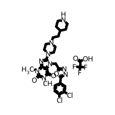 Cn1c(=O)c2c(nc(N3CCN(CCC4CCNCC4)CC3)n2Cc2nnc(-c3ccc(Cl)c(Cl)c3)o2)n(C)c1=O.O=C(O)C(F)(F)F